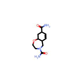 NC(=O)C1C=CC2CN(C(N)=O)CCOC2C1